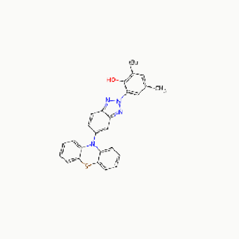 Cc1cc(-n2nc3ccc(N4c5ccccc5Sc5ccccc54)cc3n2)c(O)c(C(C)(C)C)c1